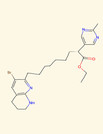 CCOC(=O)[C@H](CCCCCCCc1nc2c(cc1Br)CCCN2)c1cnc(C)nc1